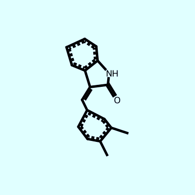 Cc1ccc(C=C2C(=O)Nc3ccccc32)cc1C